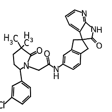 CC1(C)CCC(c2cccc(Cl)c2)N(CC(=O)Nc2ccc3c(c2)CC2(C3)C(=O)Nc3ncccc32)C1=O